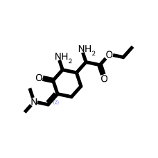 CCOC(=O)C(N)C1CC/C(=C/N(C)C)C(=O)C1N